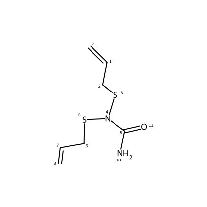 C=CCSN(SCC=C)C(N)=O